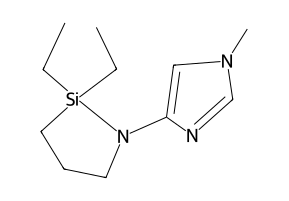 CC[Si]1(CC)CCCN1c1cn(C)cn1